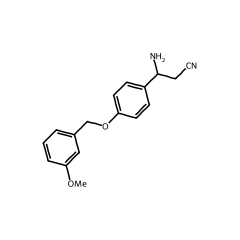 COc1cccc(COc2ccc(C(N)CC#N)cc2)c1